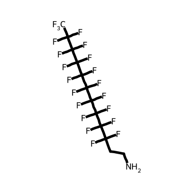 NCCC(F)(F)C(F)(F)C(F)(F)C(F)(F)C(F)(F)C(F)(F)C(F)(F)C(F)(F)C(F)(F)C(F)(F)F